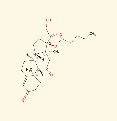 CCCOC(=O)O[C@]1(C(=O)CO)CC[C@H]2[C@@H]3CCC4=CC(=O)CC[C@]4(C)[C@H]3C(=O)C[C@@]21C